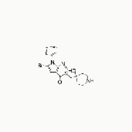 O=c1c2cc(Br)n(-c3ccccc3)c2ncn1CC1(O)CCNCC1